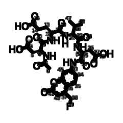 CC(=O)N[C@@H](CC(=O)O)C(=O)N[C@@H](CCC(=O)O)C(=O)N[C@H](C(=O)N[C@@H](CC(=O)O)C(=O)Nc1ccc2c(CF)cc(=O)oc2c1)C(C)C